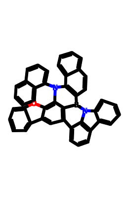 c1ccc2c(N3c4c(ccc5ccccc45)B4c5c(cc6c(oc7ccccc76)c53)-c3cccc5c6ccccc6n4c35)cccc2c1